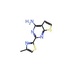 Cc1csc(-c2nc(N)c3ccsc3n2)n1